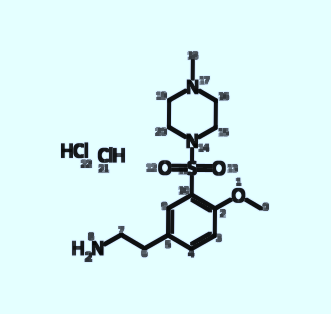 COc1ccc(CCN)cc1S(=O)(=O)N1CCN(C)CC1.Cl.Cl